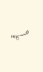 O=C(O)CCCCC=CN1CCCC1